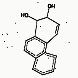 OC1C=Cc2c(ccc3ccccc23)C1O